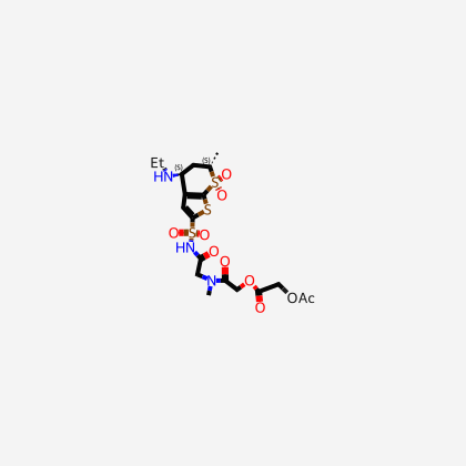 CCN[C@H]1C[C@H](C)S(=O)(=O)c2sc(S(=O)(=O)NC(=O)CN(C)C(=O)COC(=O)COC(C)=O)cc21